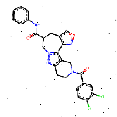 O=C(Nc1ccccc1)C1Cc2conc2-c2c3c(nn2C1)CCN(C(=O)c1ccc(Cl)c(Cl)c1)C3